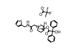 O=C(C[N+]12CCC(CC1)[C@@H](OC(=O)C(O)(c1ccccc1)c1ccccc1)C2)NCc1cccs1.O=C([O-])C(F)(F)F